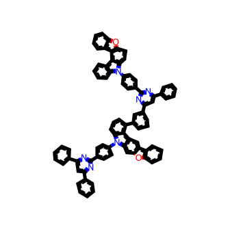 c1ccc(-c2cc(-c3ccccc3)nc(-c3ccc(-n4c5cc6oc7ccccc7c6cc5c5c(-c6cccc(-c7cc(-c8ccccc8)nc(-c8ccc(-n9c%10ccccc%10c%10c%11c(ccc%109)oc9ccccc9%11)cc8)n7)c6)cccc54)cc3)n2)cc1